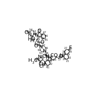 Cc1nn(C)c(C)c1-c1c(Cl)ccc2c(CCCOc3cccc4cc(F)ccc34)c(C(=O)O)n(CCN3CCN(C(=O)C(C)Oc4cccc5c4CN([C@@H]4CCC(=O)NC4=O)C5=O)CC3)c12